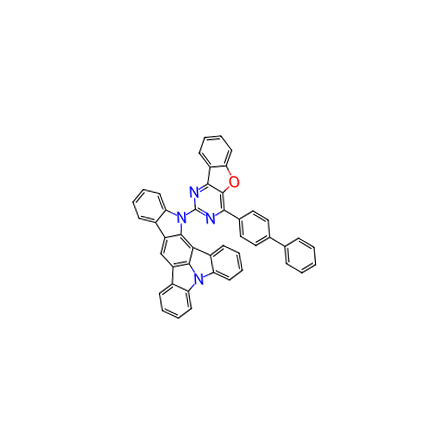 c1ccc(-c2ccc(-c3nc(-n4c5ccccc5c5cc6c7ccccc7n7c8ccccc8c(c54)c67)nc4c3oc3ccccc34)cc2)cc1